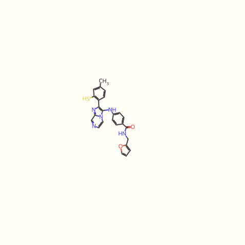 Cc1ccc(-c2nc3cnccn3c2Nc2ccc(C(=O)NCc3ccco3)cc2)c(S)c1